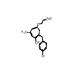 CCc1ccc(CC2=C(C)C=C(C)C=C(OCCC=O)C2)cc1